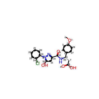 COc1ccc([C@H](CC(=O)O)NC(=O)c2cc(O)n(-c3ccccc3Cl)n2)cc1